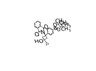 CC1(C)OB(c2ccc(C3(N4C(=O)c5ccccc5C4=O)CC(O)(C4CC4)C3)cc2)OC1(C)C